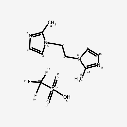 Cc1nccn1CCn1ccnc1C.O=S(=O)(O)C(F)(F)F